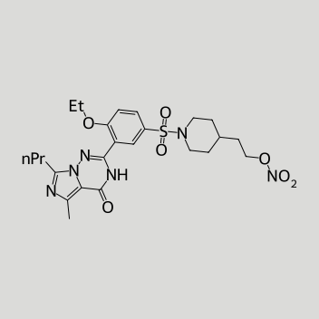 CCCc1nc(C)c2c(=O)[nH]c(-c3cc(S(=O)(=O)N4CCC(CCO[N+](=O)[O-])CC4)ccc3OCC)nn12